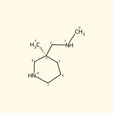 CNC[C@@]1(C)CCCNC1